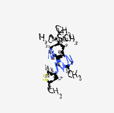 Cc1cc(-n2c(C)nc3cc([Si](C)(C)C)cnc32)cs1